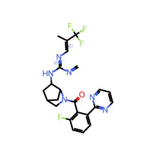 C=N/C(=N\C=C(/C)C(F)(F)F)NC1CC2CC1N(C(=O)c1c(F)cccc1-c1ncccn1)C2